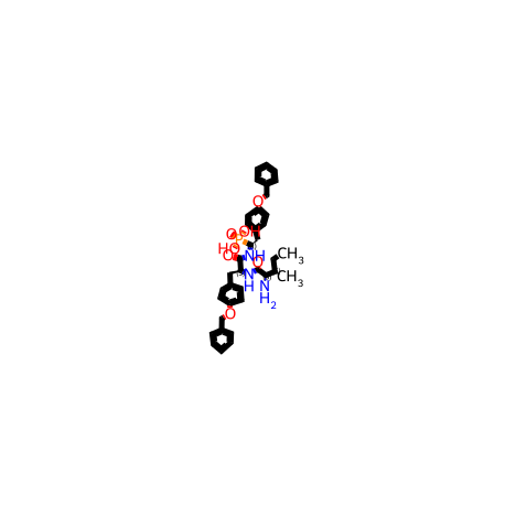 CC[C@H](C)[C@H](N)C(=O)N[C@@H](Cc1ccc(OCc2ccccc2)cc1)C(=O)N[C@@H](Cc1ccc(OCc2ccccc2)cc1)P(=O)(O)O